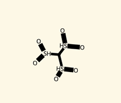 O=[SH](=O)[C]([SH](=O)=O)[SH](=O)=O